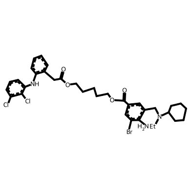 CCN(Cc1cc(C(=O)OCCCCCOC(=O)Cc2ccccc2Nc2cccc(Cl)c2Cl)cc(Br)c1N)C1CCCCC1